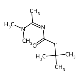 CC(=NC(=O)[CH]C(C)(C)C)N(C)C